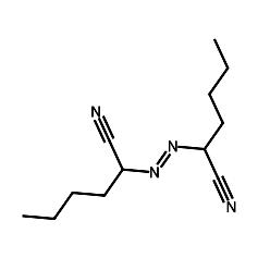 CCCCC(C#N)N=NC(C#N)CCCC